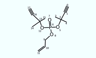 C#CC(C)(C)OP(=O)(OCC=C)OC(C)(C)C#C